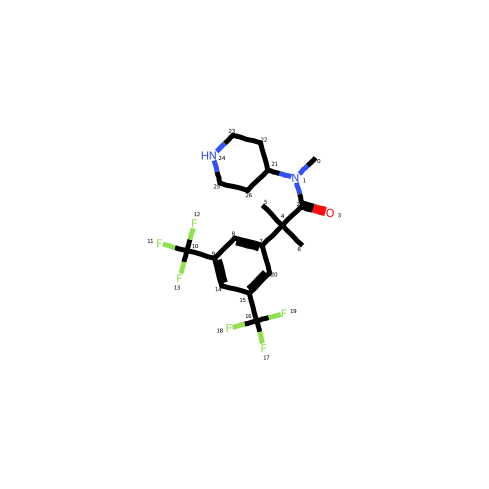 CN(C(=O)C(C)(C)c1cc(C(F)(F)F)cc(C(F)(F)F)c1)C1CCNCC1